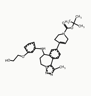 Cc1nnn2c1-c1ccc(C3=CCN(C(=O)OC(C)(C)C)CC3)cc1C(Nc1cccc(OCCO)c1)CC2